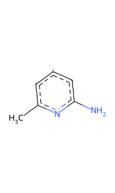 Cc1c[c]cc(N)n1